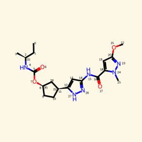 CC[C@H](C)NC(=O)O[C@@H]1CC[C@H](c2cc(NC(=O)c3cc(OC)nn3C)n[nH]2)C1